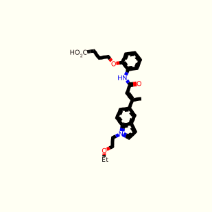 CCOCCn1ccc2cc(/C(C)=C/C(=O)Nc3ccccc3OCCCC(=O)O)ccc21